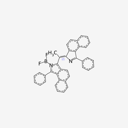 C/C(=C1/N=C(c2ccccc2)c2c1ccc1ccccc21)c1c2ccc3ccccc3c2c(-c2ccccc2)n1B(F)F